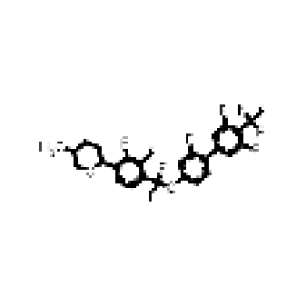 CC1CCC(c2ccc(C(F)(F)Oc3ccc(-c4cc(F)c(C(F)(F)F)c(F)c4)c(F)c3)c(F)c2F)OC1